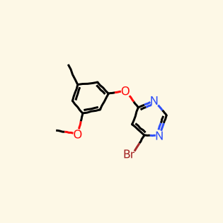 COc1cc(C)cc(Oc2cc(Br)ncn2)c1